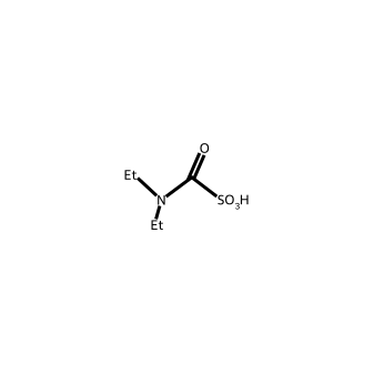 CCN(CC)C(=O)S(=O)(=O)O